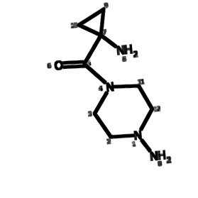 NN1CCN(C(=O)C2(N)CC2)CC1